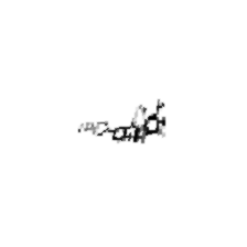 CC(=O)N1CCC(c2ccc3[nH]c(-c4cc(C)nc(C5CC5)c4)c(C(C)C)c3c2)CC1